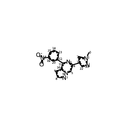 Cn1cc(-c2cn3nccc3c(-c3cccc([N+](=O)[O-])c3)n2)cn1